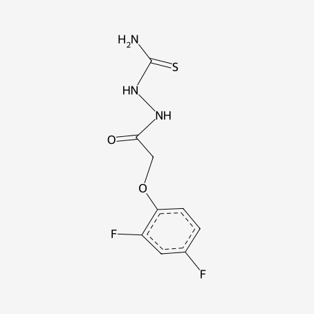 NC(=S)NNC(=O)COc1ccc(F)cc1F